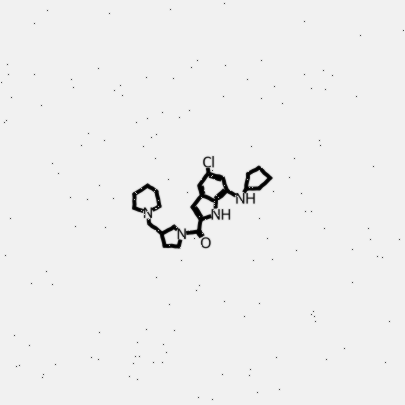 O=C(c1cc2cc(Cl)cc(NC3CCCC3)c2[nH]1)N1CCC(CN2CCCCC2)C1